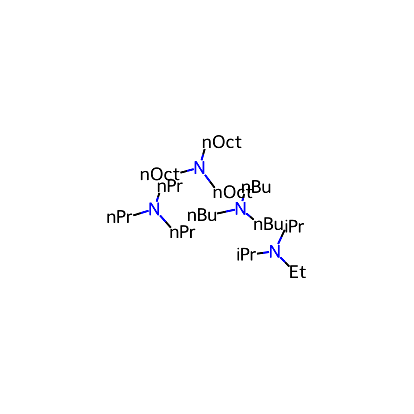 CCCCCCCCN(CCCCCCCC)CCCCCCCC.CCCCN(CCCC)CCCC.CCCN(CCC)CCC.CCN(C(C)C)C(C)C